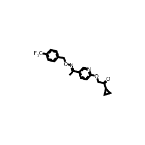 C/C(=N\OCc1ccc(C(F)(F)F)cc1)c1ccc(OCC(=O)C2CC2)nc1